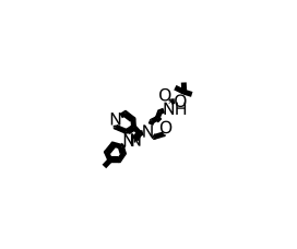 Cc1ccc(-n2nc(N3CCOC(CNC(=O)OC(C)(C)C)C3)c3ccncc32)cc1